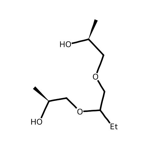 CCC(COC[C@H](C)O)OC[C@H](C)O